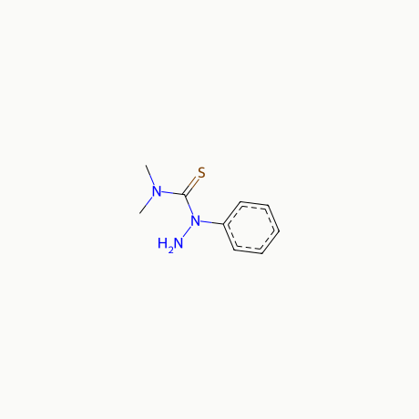 CN(C)C(=S)N(N)c1ccccc1